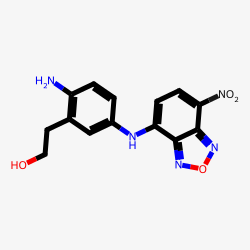 Nc1ccc(Nc2ccc([N+](=O)[O-])c3nonc23)cc1CCO